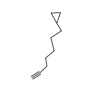 [C]#CCCCCCC1CC1